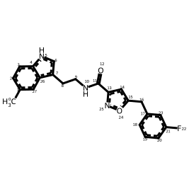 Cc1ccc2[nH]cc(CCNC(=O)c3cc(Cc4cccc(F)c4)on3)c2c1